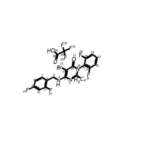 Cc1nc(NCc2ccc(F)cc2F)c(Br)c(=O)n1-c1c(F)cccc1F.O=C(O)C(F)(F)F